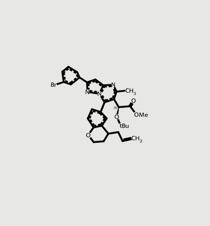 C=CCC1CCOc2ccc(-c3c([C@H](OC(C)(C)C)C(=O)OC)c(C)nc4cc(-c5cccc(Br)c5)nn34)cc21